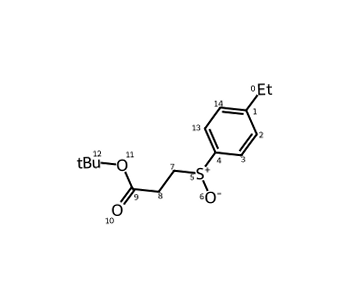 CCc1ccc([S+]([O-])CCC(=O)OC(C)(C)C)cc1